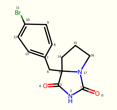 O=C1NC(=O)C2(Cc3ccc(Br)cc3)CCCN12